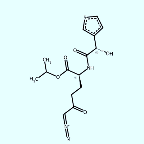 CC(C)OC(=O)[C@H](CCC(=O)C=[N+]=[N-])NC(=O)[C@@H](O)c1ccsc1